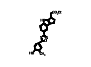 CCOC(=O)CC1CCc2c1[nH]c1ccc(-c3noc(-c4ccc(O)c(C)c4)n3)cc21